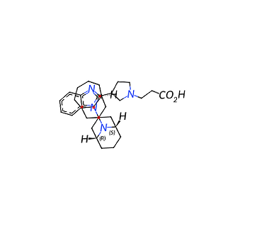 O=C(O)CCN1CCC(c2nc3ccccc3n2C2C[C@H]3CCC[C@@H](C2)N3C2CC3CCCC[C@H](C3)C2)C1